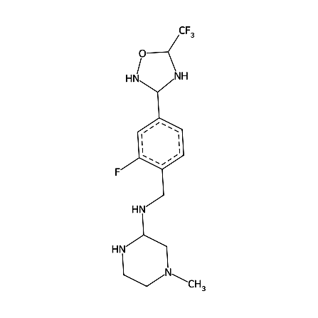 CN1CCNC(NCc2ccc(C3NOC(C(F)(F)F)N3)cc2F)C1